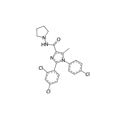 Cc1c(C(=O)NN2CCCC2)nc(-c2ccc(Cl)cc2Cl)n1-c1ccc(Cl)cc1